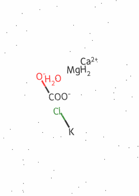 O.O=C([O-])[O-].[Ca+2].[Cl][K].[MgH2]